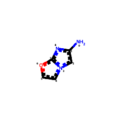 Nc1cn2ccoc2n1